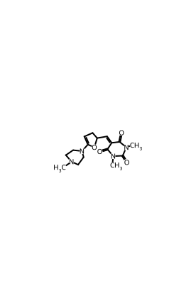 CN1CCN(C2=CCC(C=C3C(=O)N(C)C(=O)N(C)C3=O)O2)CC1